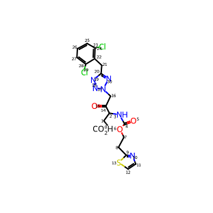 O=C(O)CC(NC(=O)OCCc1nccs1)C(=O)Cn1nnc(Cc2c(Cl)cccc2Cl)n1